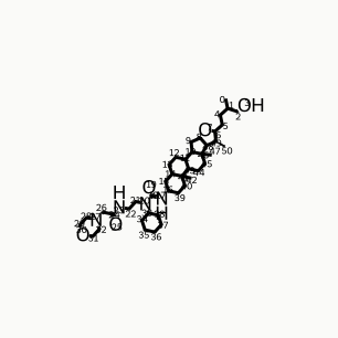 CC(CO)CCC1OC2CC3C4CCC5C[C@H](NC(=O)N(CCNC(=O)CN6CCOCC6)C6CCCCC6)CCC5(C)C4CCC3(C)C2[C@@H]1C